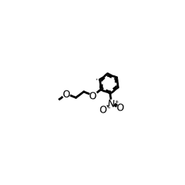 COCCOc1[c]cccc1[N+](=O)[O-]